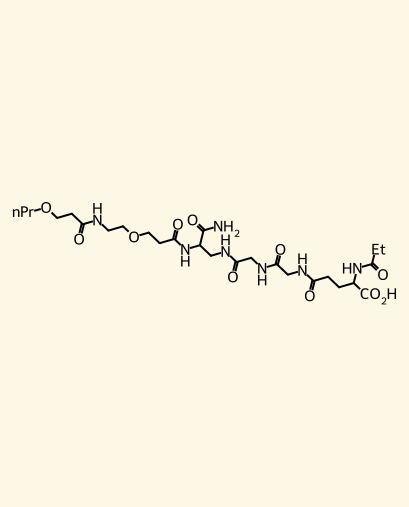 CCCOCCC(=O)NCCOCCC(=O)NC(CNC(=O)CNC(=O)CNC(=O)CCC(NC(=O)CC)C(=O)O)C(N)=O